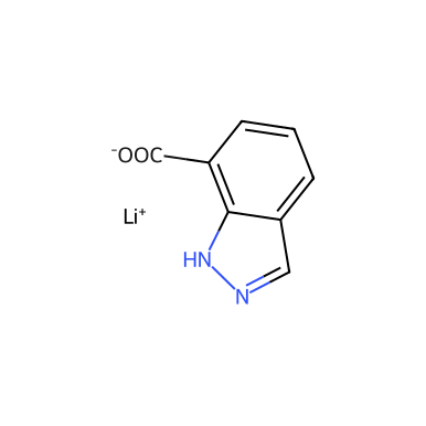 O=C([O-])c1cccc2cn[nH]c12.[Li+]